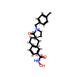 Cc1ccc(CN2CC[C@@]3(CCc4ccc(C(=O)NO)cc4C3)C2=O)cc1